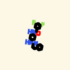 O=C(N[C@H]1CC[C@@H](Nc2ccc3ccccc3n2)CC1)c1cc(F)cc(F)c1